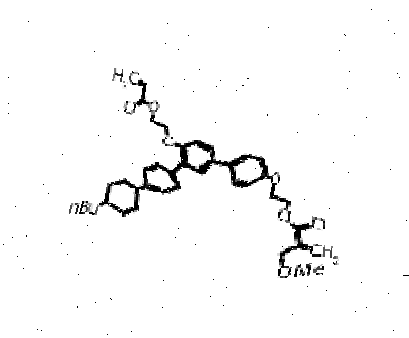 C=CC(=O)OCCOc1ccc(-c2ccc(OCCOC(=O)C(=C)COC)cc2)cc1-c1ccc(C2CCC(CCCC)CC2)cc1